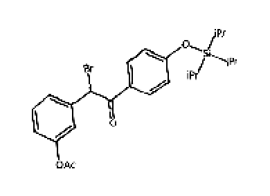 CC(=O)Oc1cccc(C(Br)C(=O)c2ccc(O[Si](C(C)C)(C(C)C)C(C)C)cc2)c1